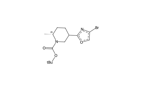 C[C@@H]1CCC(c2nc(Br)co2)CN1C(=O)OC(C)(C)C